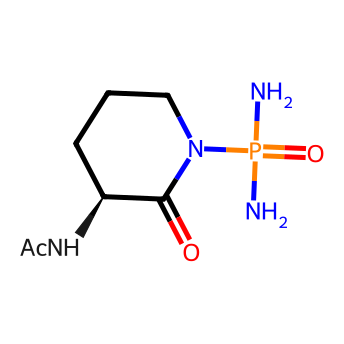 CC(=O)N[C@H]1CCCN(P(N)(N)=O)C1=O